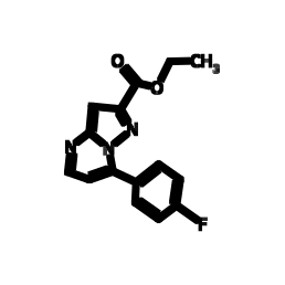 CCOC(=O)c1cc2nccc(-c3ccc(F)cc3)n2n1